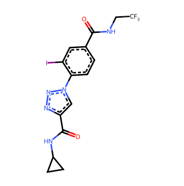 O=C(NCC(F)(F)F)c1ccc(-n2cc(C(=O)NC3CC3)nn2)c(I)c1